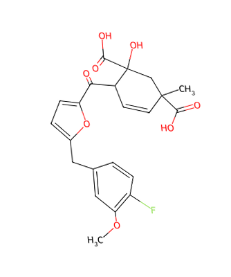 COc1cc(Cc2ccc(C(=O)C3C=CC(C)(C(=O)O)CC3(O)C(=O)O)o2)ccc1F